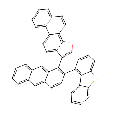 c1ccc2cc3c(-c4coc5c4ccc4c6ccccc6ccc45)c(-c4cccc5sc6ccccc6c45)ccc3cc2c1